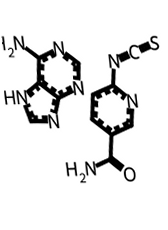 NC(=O)c1ccc(N=C=S)nc1.Nc1ncnc2nc[nH]c12